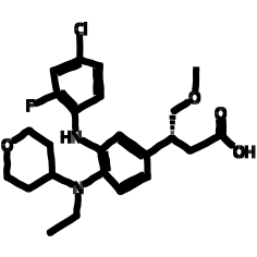 CCN(c1ccc([C@H](COC)CC(=O)O)cc1Nc1ccc(Cl)cc1F)C1CCOCC1